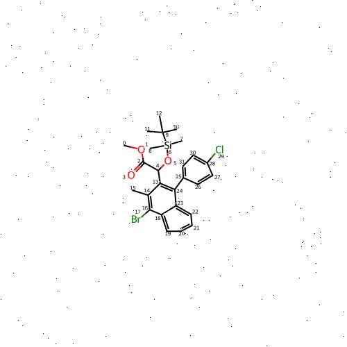 COC(=O)C(O[Si](C)(C)C(C)(C)C)c1c(C)c(Br)c2ccccc2c1-c1ccc(Cl)cc1